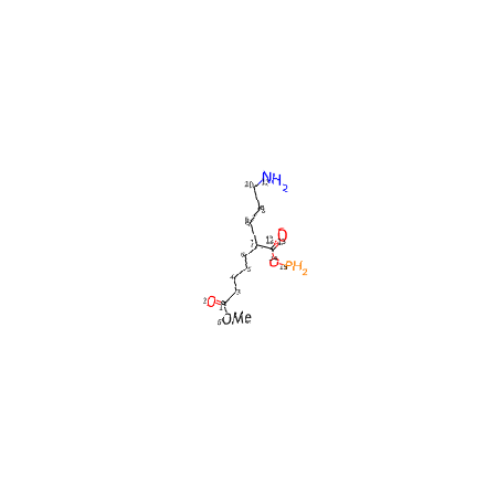 COC(=O)CCCCC(CCCN)C(=O)OP